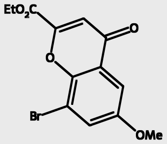 CCOC(=O)c1cc(=O)c2cc(OC)cc(Br)c2o1